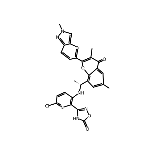 Cc1cc([C@@H](C)Nc2ccc(Cl)nc2-c2noc(=O)[nH]2)c2oc(-c3ccc4nn(C)cc4n3)c(C)c(=O)c2c1